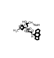 Cn1cc(N(CC(C)(C)O)S(=O)(=O)NC(=O)Nc2c3c(cc4c2CCC4)CCC3)cn1.[NaH]